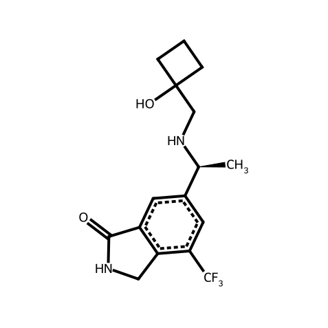 C[C@H](NCC1(O)CCC1)c1cc2c(c(C(F)(F)F)c1)CNC2=O